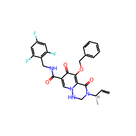 C=C[C@H](C)N1CNn2cc(C(=O)NCc3c(F)cc(F)cc3F)c(=O)c(OCc3ccccc3)c2C1=O